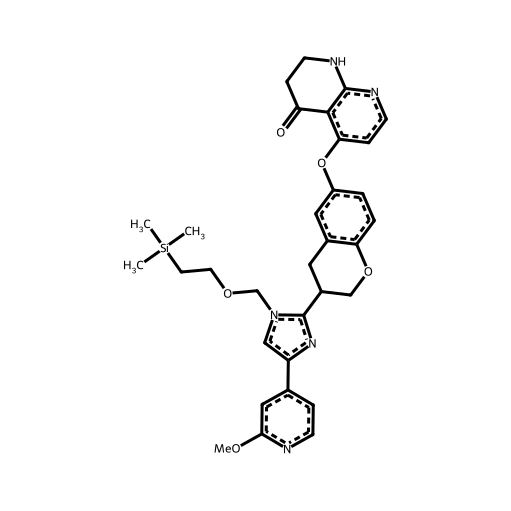 COc1cc(-c2cn(COCC[Si](C)(C)C)c(C3COc4ccc(Oc5ccnc6c5C(=O)CCN6)cc4C3)n2)ccn1